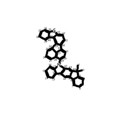 CC1(C)c2ccccc2-c2cc3c4ccccc4n(-c4ccc5c6c(cccc46)-c4c-5ccc5sc6ccccc6c45)c3cc21